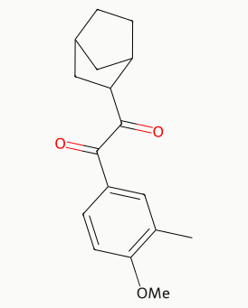 COc1ccc(C(=O)C(=O)C2CC3CCC2C3)cc1C